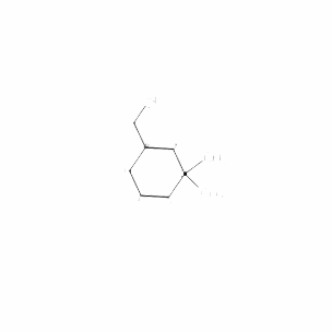 CC1(C)CCCC(CBr)C1